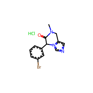 CN1Cc2cncn2C(c2cccc(Br)c2)C1=O.Cl